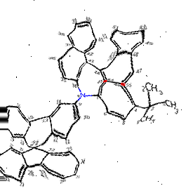 CC(C)(C)c1ccc(N(c2ccc3c(c2)-c2ccccc2C32c3ccccc3-c3ccccc32)c2ccc3ccccc3c2-c2cccc3ccccc23)cc1